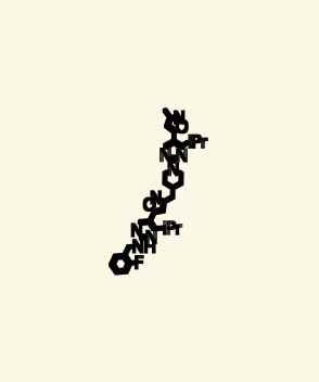 Cc1cc(-c2cnc(N3CCC(Cc4cc(-c5cnc(NCc6ccccc6F)nc5C(C)C)on4)CC3)nc2C(C)C)on1